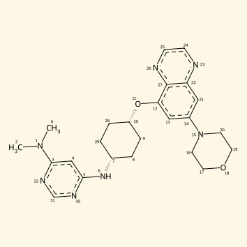 CN(C)c1cc(N[C@H]2CC[C@@H](Oc3cc(N4CCOCC4)cc4nccnc34)CC2)ncn1